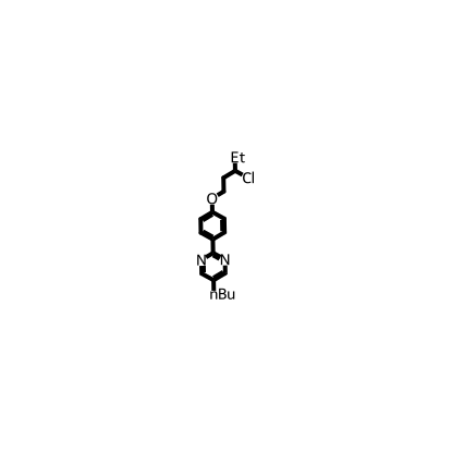 CCCCc1cnc(-c2ccc(OCCC(Cl)CC)cc2)nc1